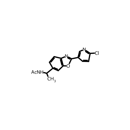 CC(=O)NC(C)c1ccc2nc(-c3ccc(Cl)nc3)oc2c1